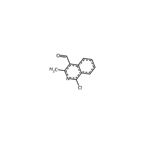 Cc1nc(Cl)c2ccccc2c1C=O